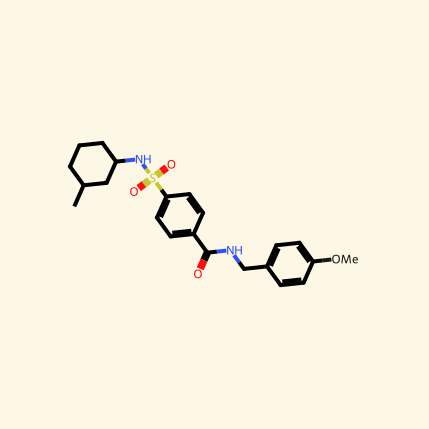 COc1ccc(CNC(=O)c2ccc(S(=O)(=O)NC3CCCC(C)C3)cc2)cc1